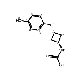 O=C(O)N[C@H]1C[C@H](Oc2ccc(O)cn2)C1